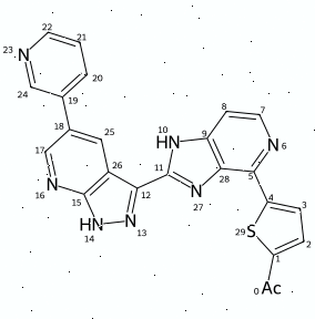 CC(=O)c1ccc(-c2nccc3[nH]c(-c4n[nH]c5ncc(-c6cccnc6)cc45)nc23)s1